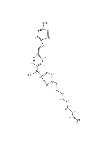 Cc1ccc(/C=C/c2ccc(N(C)c3ccc(CCCCCCCC=N)cc3)cc2)cc1